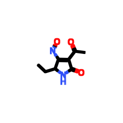 CCC1NC(=O)C(C(C)=O)=C1N=O